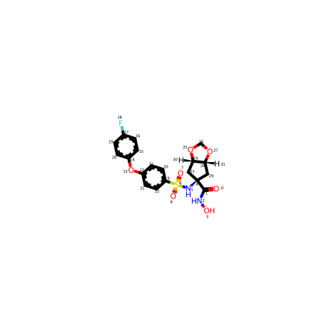 O=C(NO)[C@]1(NS(=O)(=O)c2ccc(Oc3ccc(F)cc3)cc2)C[C@@H]2OCO[C@@H]2C1